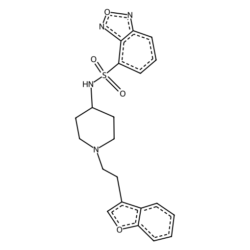 O=S(=O)(NC1CCN(CCc2coc3ccccc23)CC1)c1cccc2nonc12